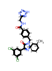 C[C@H]1CCC[C@@]2(C1)N=C(c1cc(Cl)cc(Cl)c1)C(=O)N2Cc1ccc(C(=O)NCc2nn[nH]n2)cc1